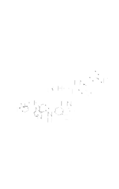 CCc1cc(Nc2nccn3c(-c4c[nH]nc4C(F)(F)F)cnc23)ccc1C(=O)NCCCNC(=O)[C@@H](N)CNC(=N)N.O=CO